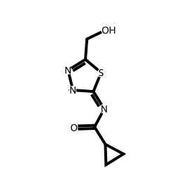 O=C(N=C1[N]N=C(CO)S1)C1CC1